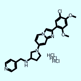 COc1cc(OC)c(-c2cn3ccc(N4CCC(NCc5ccncc5)C4)cc3n2)cc1Cl.Cl.Cl.Cl